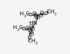 CC1CCC(CC(=O)OCC(COC(=O)CC2CCC(C)CC2)OC(=O)CCCNCCCC(=O)OC(COC(=O)CC2CCC(C)CC2)COC(=O)CC2CCC(C)CC2)CC1